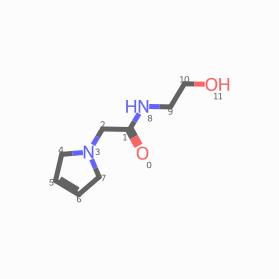 O=C(CN1CC=CC1)NCCO